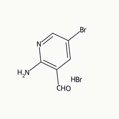 Br.Nc1ncc(Br)cc1C=O